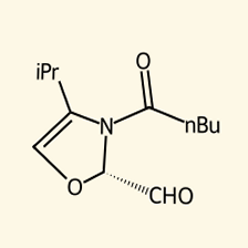 CCCCC(=O)N1C(C(C)C)=CO[C@H]1C=O